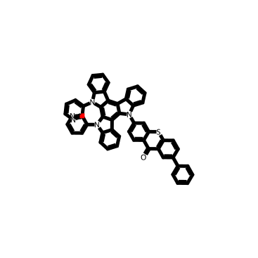 O=c1c2ccc(-n3c4ccccc4c4c5c6ccccc6n(-c6cccnc6)c5c5c(c6ccccc6n5-c5cccnc5)c43)cc2sc2ccc(-c3ccccc3)cc12